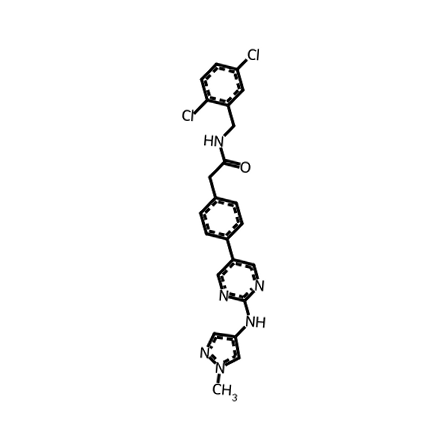 Cn1cc(Nc2ncc(-c3ccc(CC(=O)NCc4cc(Cl)ccc4Cl)cc3)cn2)cn1